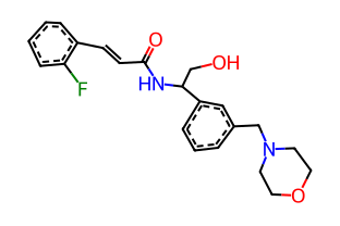 O=C(C=Cc1ccccc1F)NC(CO)c1cccc(CN2CCOCC2)c1